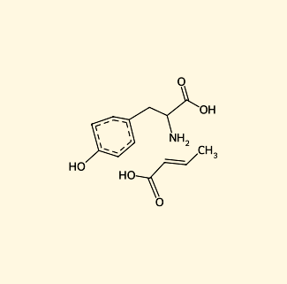 CC=CC(=O)O.NC(Cc1ccc(O)cc1)C(=O)O